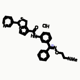 CNCCO/N=C(\c1ccccc1)c1cccc(NC(=O)c2ccn3c2CSC3c2cccnc2)c1.Cl